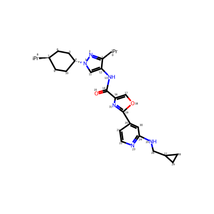 CC(C)c1nn([C@H]2CC[C@H](C(C)C)CC2)cc1NC(=O)c1coc(-c2ccnc(NCC3CC3)c2)n1